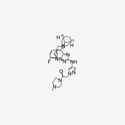 CN1CCN(C(=O)Cn2cc(Nc3nc4c(N5C[C@H]6CC[C@@H](C5)C6OCc5ccc(F)nc5)cccn4n3)cn2)CC1